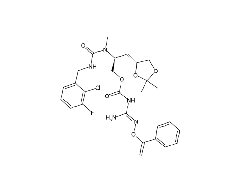 C=C(O/N=C(\N)NC(=O)OC[C@H](C[C@@H]1COC(C)(C)O1)N(C)C(=O)NCc1cccc(F)c1Cl)c1ccccc1